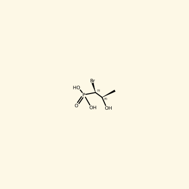 C[C@@H](O)[C@H](Br)P(=O)(O)O